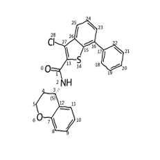 O=C(N[C@H]1CCOc2ccccc21)c1sc2c(-c3ccccc3)cccc2c1Cl